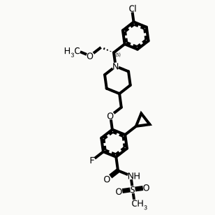 COC[C@H](c1cccc(Cl)c1)N1CCC(COc2cc(F)c(C(=O)NS(C)(=O)=O)cc2C2CC2)CC1